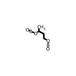 CC(CCOB=O)OB=O